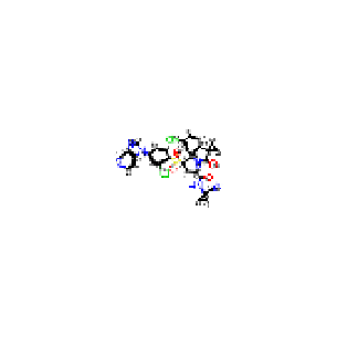 N#CC1(NC(=O)[C@@H]2C[C@@H](S(=O)(=O)c3ccc(-n4cnc5cnccc54)cc3Cl)CN2C(=O)C2(c3ccc(Cl)cc3)CC2)CC1